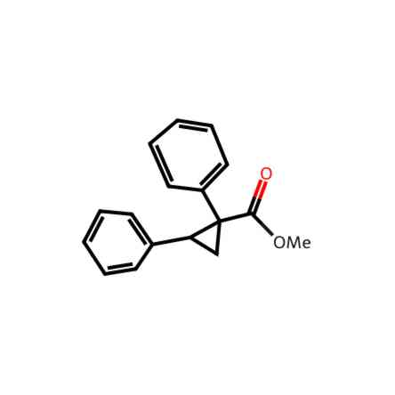 COC(=O)C1(c2ccccc2)CC1c1ccccc1